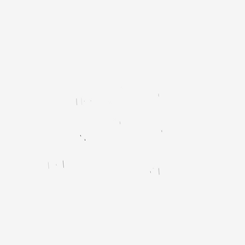 C=C(C)C(=O)O.C=CC(=O)OCC(C)O.CN(C)C.Cl